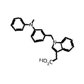 CN(c1ccccc1)c1cccc(Cn2cc(CC(=O)O)c3ccccc32)c1